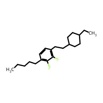 CCCCCc1ccc(CCC2CCC(CC)CC2)c(F)c1F